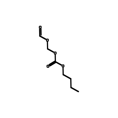 CCCCOC(=O)OCOC=O